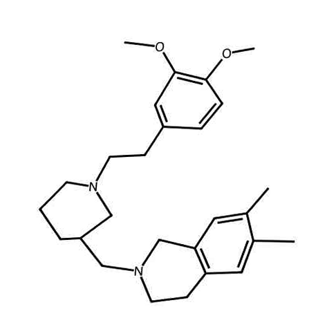 COc1ccc(CCN2CCCC(CN3CCc4cc(C)c(C)cc4C3)C2)cc1OC